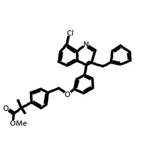 COC(=O)C(C)(C)c1ccc(COc2cccc(-c3c(Cc4ccccc4)cnc4c(Cl)cccc34)c2)cc1